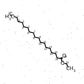 CCCCCCCCCCCCCCCCCC(=O)OCC.[C]